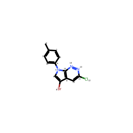 Cc1ccc(-n2cc(Br)c3cc(Cl)nnc32)cc1